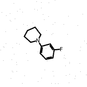 Fc1cccc(N2CCCCC2)c1